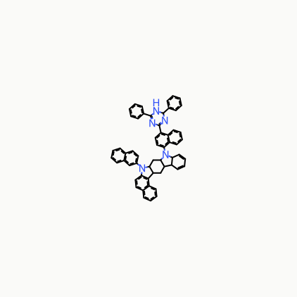 C1=CC2C3CC4c5c(ccc6ccccc56)N(c5ccc6ccccc6c5)C4CC3N(c3ccc(C4=NC(c5ccccc5)NC(c5ccccc5)=N4)c4ccccc34)C2C=C1